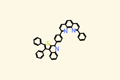 c1ccc(-c2ccc3ccc4ccc(-c5ccc(-c6nc7ccccc7c7c(-c8ccccc8)c(-c8ccccc8)sc67)cc5)nc4c3n2)cc1